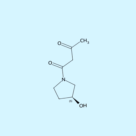 CC(=O)CC(=O)N1CC[C@H](O)C1